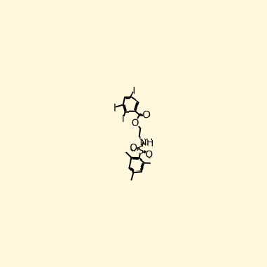 Cc1cc(C)c(S(=O)(=O)NCCOC(=O)c2cc(I)cc(I)c2I)c(C)c1